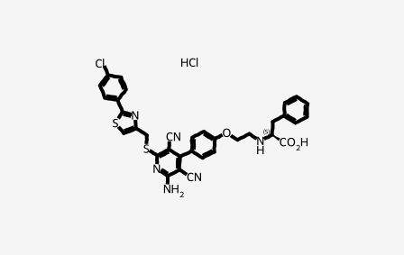 Cl.N#Cc1c(N)nc(SCc2csc(-c3ccc(Cl)cc3)n2)c(C#N)c1-c1ccc(OCCN[C@@H](Cc2ccccc2)C(=O)O)cc1